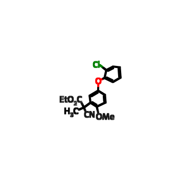 CCOC(=O)C(C)(C#N)c1cc(Oc2ccccc2Cl)ccc1OC